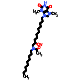 CCCCCCCCCCN(CC(O)CCCCCCCCCN1CN(C)c2c1n(C)c(=O)[nH]c2=O)C(C)=O